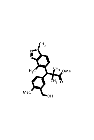 COC(=O)C(C)(C)C(c1ccc(OC)c(CO)c1)c1ccc2c(nnn2C)c1C